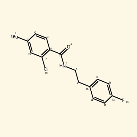 CC(C)(C)c1ccc(C(=O)NCCc2ccc(F)cc2)c(Cl)c1